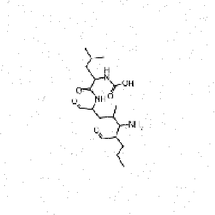 CCCC(C=O)C(N)C(C)CC(C=O)NC(=O)C(CC(C)C)NC(=O)O